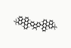 Cc1c(C)c2cc(-c3c4ccccc4c(-c4ccc([Si](C)(C)C)c5ccccc45)c4ccccc34)ccc2c2ccc(-c3c4ccccc4c(-c4ccc([Si](C)(C)C)c5ccccc45)c4ccccc34)cc12